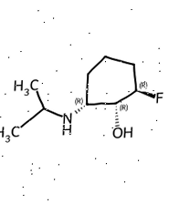 CC(C)N[C@@H]1CCC[C@@H](F)[C@@H]1O